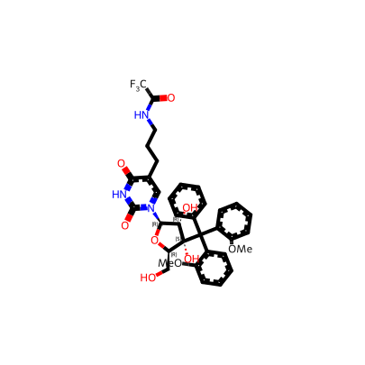 COc1ccccc1C(c1ccccc1)(c1ccccc1OC)[C@@]1(O)[C@@H](CO)O[C@@H](n2cc(CCCNC(=O)C(F)(F)F)c(=O)[nH]c2=O)[C@@H]1O